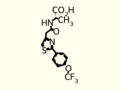 C[C@H](NC(=O)Cc1csc(-c2ccc(OC(F)(F)F)cc2)n1)C(=O)O